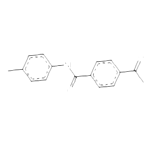 [CH2]c1ccc(NC(=O)c2ccc(C(C)=O)cc2)cc1